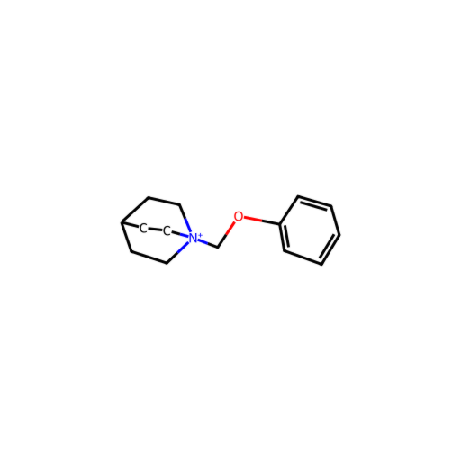 c1ccc(OC[N+]23CCC(CC2)CC3)cc1